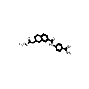 COC(=O)CC1CCc2ccc(C(=O)Nc3ccc(C(=N)N)cc3)cc2C1